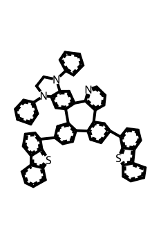 c1ccc(N2CCN(c3ccccc3)c3cc4c(cc32)-c2cc(-c3cccc5c3sc3ccccc35)ccc2-c2ccc(-c3cccc5c3sc3ccccc35)cc2-c2cccnc2-4)cc1